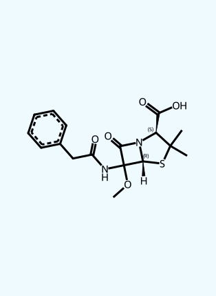 COC1(NC(=O)Cc2ccccc2)C(=O)N2[C@@H](C(=O)O)C(C)(C)S[C@@H]21